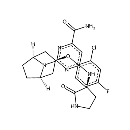 NC(=O)c1cc(N[C@H]2CCNC2=O)nc(N2[C@@H]3CC[C@H]2C[C@@H](Oc2ccc(F)cc2Cl)C3)n1